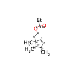 C=C1C=CC(C)(CCOC(=O)CC)C1C